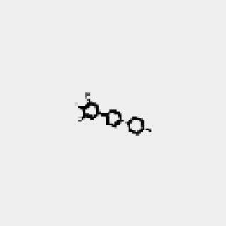 C[C@H]1CC[C@H](c2ccc(-c3cc(F)c(F)c(F)c3)cc2)CC1